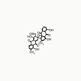 COC1C(O)=C2C(=O)c3ccc(C)c(O)c3C(=O)C2=CC1(O)c1c(C)cc(O)c2c1C(=O)c1cccc(O)c1C2=O